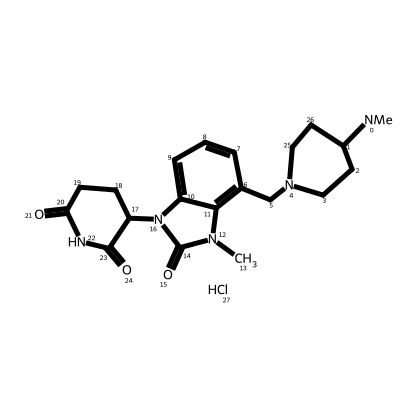 CNC1CCN(Cc2cccc3c2n(C)c(=O)n3C2CCC(=O)NC2=O)CC1.Cl